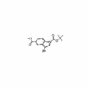 COC(=O)c1ccc2c(c1)c(Br)cn2C(=O)OC(C)(C)C